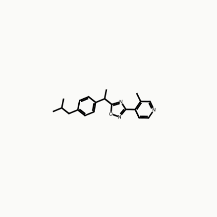 Cc1cnccc1-c1noc(C(C)c2ccc(CC(C)C)cc2)n1